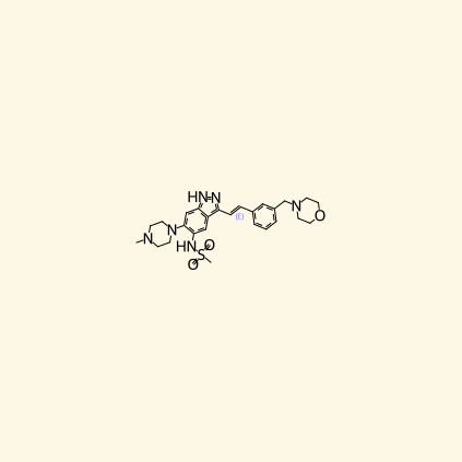 CN1CCN(c2cc3[nH]nc(/C=C/c4cccc(CN5CCOCC5)c4)c3cc2NS(C)(=O)=O)CC1